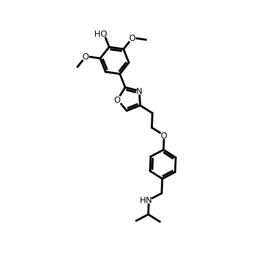 COc1cc(-c2nc(CCOc3ccc(CNC(C)C)cc3)co2)cc(OC)c1O